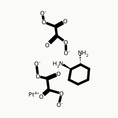 N[C@@H]1CCCC[C@H]1N.O=C(O[O-])C(=O)O[O-].O=C(O[O-])C(=O)O[O-].[Pt+4]